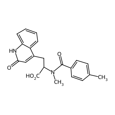 Cc1ccc(C(=O)N(C)C(Cc2cc(=O)[nH]c3ccccc23)C(=O)O)cc1